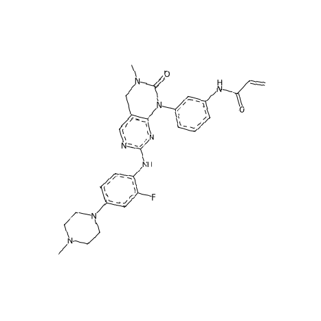 C=CC(=O)Nc1cccc(N2C(=O)N(C)Cc3cnc(Nc4ccc(N5CCN(C)CC5)cc4F)nc32)c1